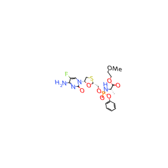 COCCOC(=O)[C@H](C)NP(=O)(OC[C@@H]1O[C@H](n2cc(F)c(N)nc2=O)CS1)Oc1ccccc1